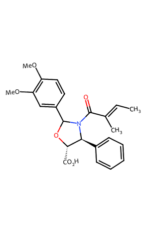 C/C=C(\C)C(=O)N1C(c2ccc(OC)c(OC)c2)O[C@@H](C(=O)O)[C@@H]1c1ccccc1